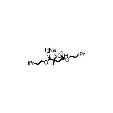 CC(C)CCOC(=O)CC(C)(C(=O)OCCC(C)C)S(=O)(=O)O.[NaH]